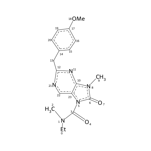 CCN(C)C(=O)n1c(=O)n(C)c2nc(Cc3ccc(OC)cc3)ncc21